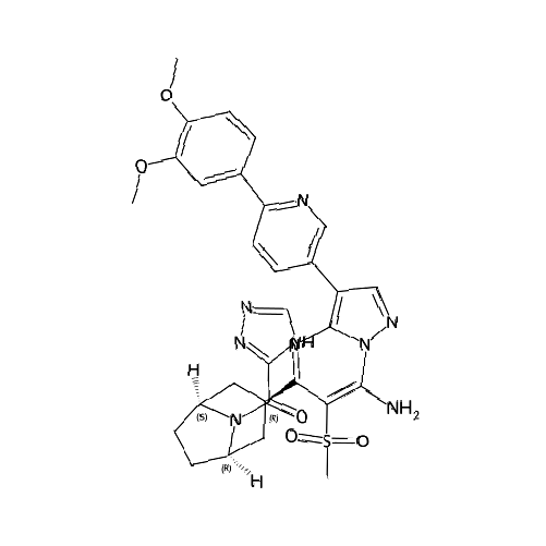 COc1ccc(-c2ccc(-c3cnn4c(N)c(S(C)(=O)=O)c([C@H]5C[C@H]6CC[C@@H](C5)N6C(=O)c5nnc[nH]5)nc34)cn2)cc1OC